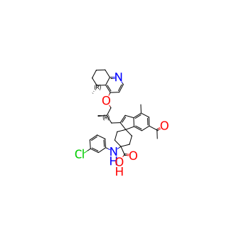 CC(=O)c1cc(C)c2c(c1)C1(CCC(Nc3cccc(Cl)c3)(C(=O)O)CC1)C(C[C@@H](C)COc1ccnc3c1[C@H](C)CCC3)=C2